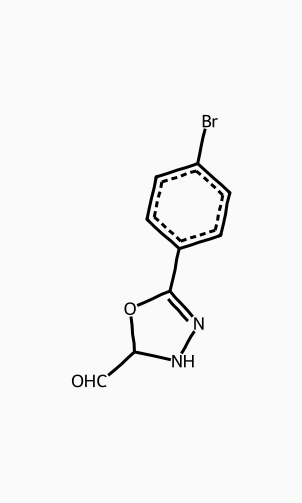 O=CC1NN=C(c2ccc(Br)cc2)O1